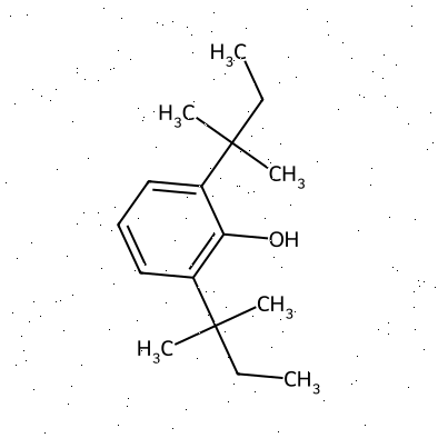 CCC(C)(C)c1cccc(C(C)(C)CC)c1O